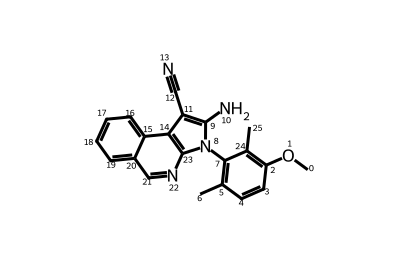 COc1ccc(C)c(-n2c(N)c(C#N)c3c4ccccc4cnc32)c1C